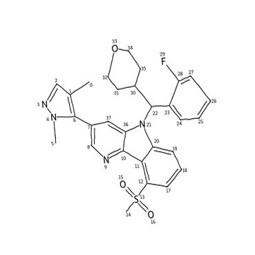 Cc1cnn(C)c1-c1cnc2c3c(S(C)(=O)=O)cccc3n(C(c3ccccc3F)C3CCOCC3)c2c1